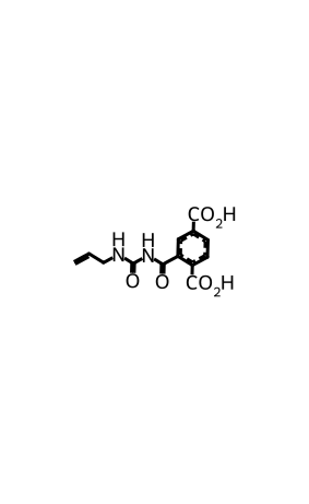 C=CCNC(=O)NC(=O)c1cc(C(=O)O)ccc1C(=O)O